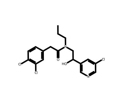 CCCN(CC(O)c1cncc(Cl)c1)C(=O)Cc1ccc(Cl)c(Cl)c1